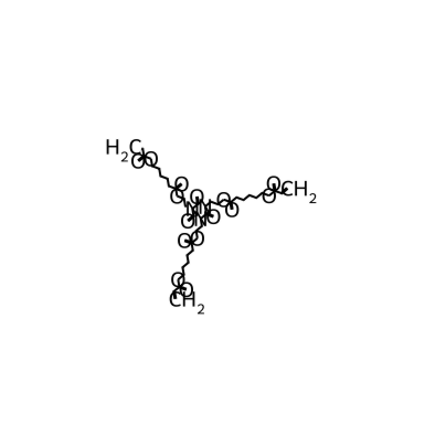 C=CC(=O)OCCCCCC(=O)OCCn1c(=O)n(CCOC(=O)CCCCCOC(=O)C=C)c(=O)n(CCOC(=O)CCCCCOC(=O)C=C)c1=O